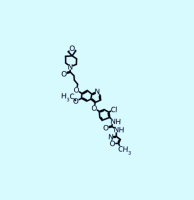 COc1cc2c(Oc3ccc(NC(=O)Nc4cc(C)on4)c(Cl)c3)ccnc2cc1OCCCC(=O)N1CCC2(CC1)COC2